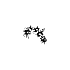 Cc1c(N[C@@H](C)CO[C@@H]2CCN([C@H]3CCN(c4ncc(C(F)(F)F)cn4)C[C@H]3O)C2=O)cn[nH]c1=O